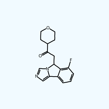 O=C(CC1c2c(F)cccc2-c2cncn21)C1CCOCC1